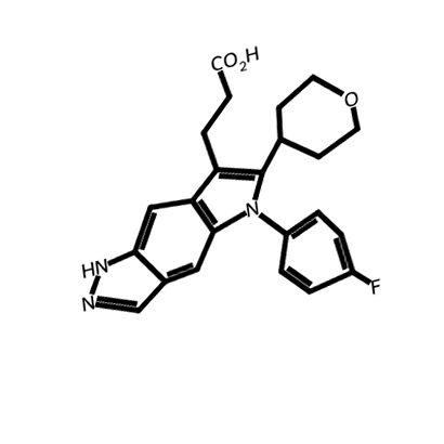 O=C(O)CCc1c(C2CCOCC2)n(-c2ccc(F)cc2)c2cc3cn[nH]c3cc12